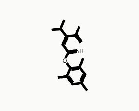 C=C(C)/C(=C\C(=N)Oc1c(C)cc(C)cc1C)C(C)C